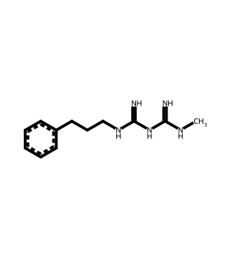 CNC(=N)NC(=N)NCCCc1ccccc1